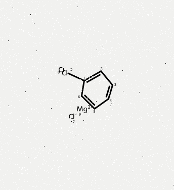 Clc1ccccc1.[Cl-].[Cl-].[Mg+2]